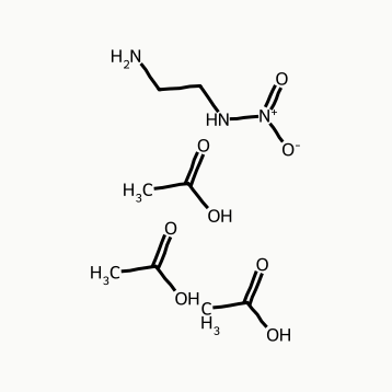 CC(=O)O.CC(=O)O.CC(=O)O.NCCN[N+](=O)[O-]